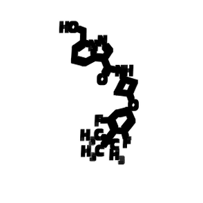 CC(C)(C)c1c(F)cc(OC2CC(NC(=O)c3cnn4c(CO)cccc34)C2)cc1F